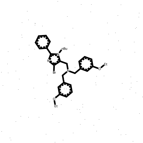 CCCCn1c(-c2ccccc2)nc(Br)c1CN(Cc1cccc(OCC)c1)Cc1cccc(OCC)c1